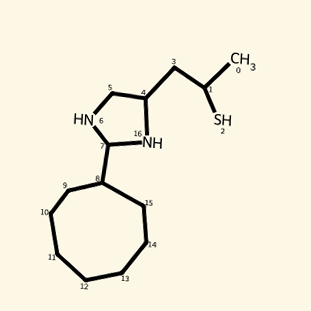 CC(S)CC1CNC(C2CCCCCCC2)N1